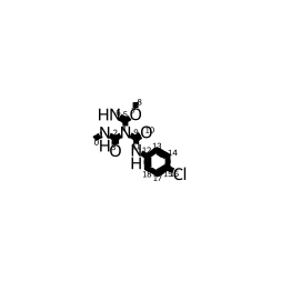 CNC(=O)N(C(=N)OC)C(=O)Nc1ccc(Cl)cc1